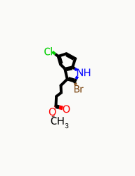 COC(=O)CCCc1c(Br)[nH]c2ccc(Cl)cc12